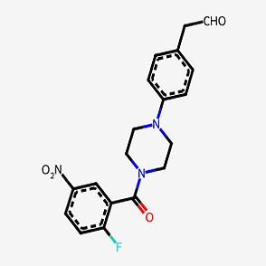 O=CCc1ccc(N2CCN(C(=O)c3cc([N+](=O)[O-])ccc3F)CC2)cc1